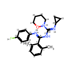 Cc1cccc(C)c1/C(=N\c1ccc(F)cc1)N/C(=N/C1CC1)N1CCCCO1